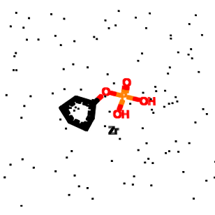 O=P(O)(O)Oc1ccccc1.[Zr]